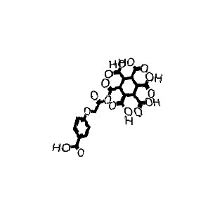 O=C(COc1ccc(C(=O)O)cc1)OC(=O)C1C(C(=O)O)C(C(=O)O)C(C(=O)O)C(C(=O)O)C1C(=O)O